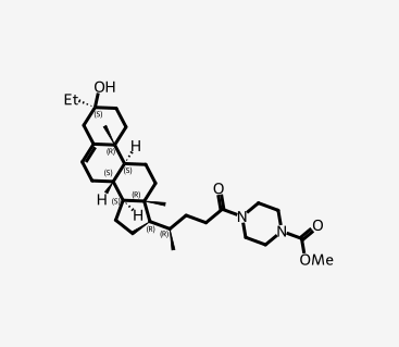 CC[C@]1(O)CC[C@@]2(C)C(=CC[C@H]3[C@@H]4CC[C@H]([C@H](C)CCC(=O)N5CCN(C(=O)OC)CC5)[C@@]4(C)CC[C@@H]32)C1